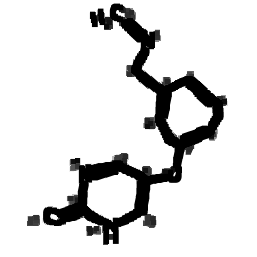 C=NCc1cccc(Oc2cnc(=O)[nH]c2)c1